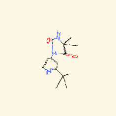 CC1(C)NC(=O)N(c2ccnc(C(C)(C)C)c2)C1=O